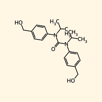 CC(C)N(C(=O)N(c1ccc(CO)cc1)C(C)C)c1ccc(CO)cc1